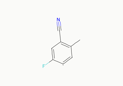 Cc1c[c]c(F)cc1C#N